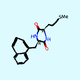 CSCC[C@H]1NC(=O)[C@@H](Cc2cccc3ccccc23)NC1=O